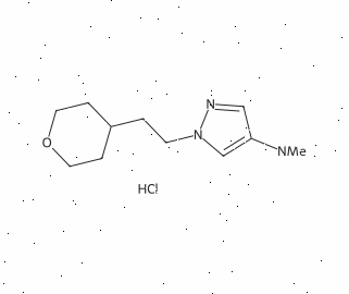 CNc1cnn(CCC2CCOCC2)c1.Cl